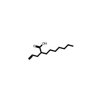 C=CCC(CCCCCCC)C(=O)O